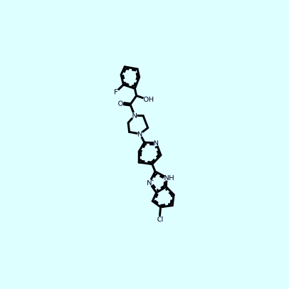 O=C(C(O)c1ccccc1F)N1CCN(c2ccc(-c3nc4cc(Cl)ccc4[nH]3)cn2)CC1